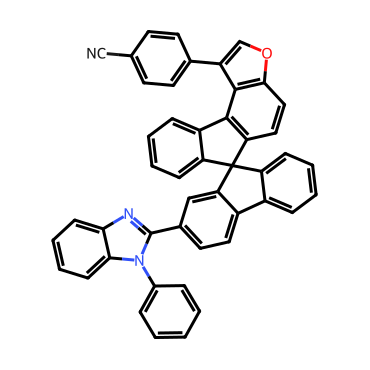 N#Cc1ccc(-c2coc3ccc4c(c23)-c2ccccc2C42c3ccccc3-c3ccc(-c4nc5ccccc5n4-c4ccccc4)cc32)cc1